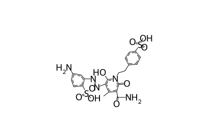 Cc1c(N=Nc2cc(N)ccc2S(=O)(=O)O)c(O)n(CCc2ccc(S(=O)(=O)O)cc2)c(=O)c1C(N)=O